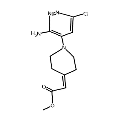 COC(=O)C=C1CCN(c2cc(Cl)nnc2N)CC1